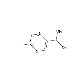 Cc1cnc(C(O)O)cn1